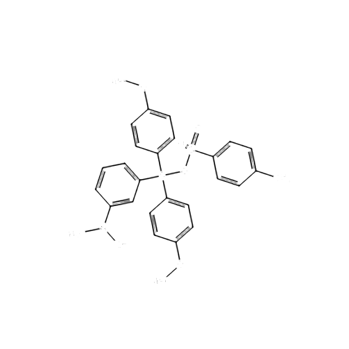 Cc1ccc(S(=O)(=O)OS(c2ccc(OC(C)(C)C)cc2)(c2ccc(OC(C)(C)C)cc2)c2cccc(N(C)C)c2)cc1